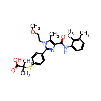 COCCn1c(-c2ccc(SC(C)(C)C(=O)O)cc2)nc(C(=O)Nc2cccc(C)c2C)c1C